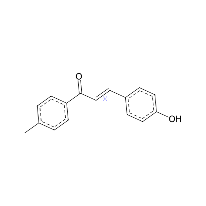 Cc1ccc(C(=O)/C=C/c2ccc(O)cc2)cc1